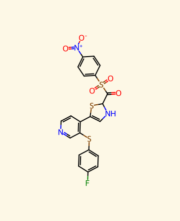 O=C(C1NC=C(c2ccncc2Sc2ccc(F)cc2)S1)S(=O)(=O)c1ccc([N+](=O)[O-])cc1